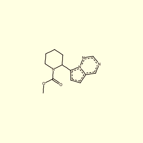 COC(=O)N1CCCCC1c1ccc2cncnn12